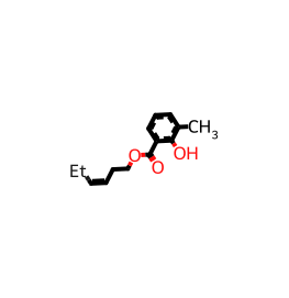 CC/C=C\CCOC(=O)c1cccc(C)c1O